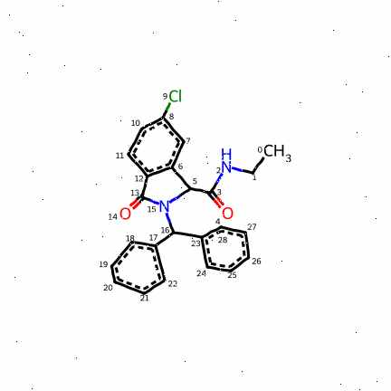 CCNC(=O)C1c2cc(Cl)ccc2C(=O)N1C(c1ccccc1)c1ccccc1